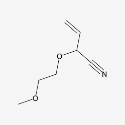 C=CC(C#N)OCCOC